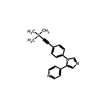 C[Si](C)(C)C#Cc1ccc(-n2cncc2-c2ccncc2)cc1